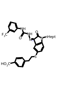 CCCCCCCN1C(=O)/C(=N\NC(=O)Nc2cccc(C(F)(F)F)c2)c2cc(SCCc3ccc(C(=O)O)cc3)ccc21